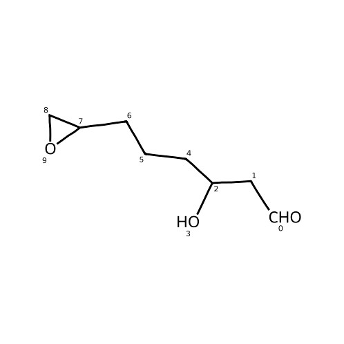 O=CCC(O)CCCC1CO1